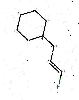 FC=CCC1CCCCC1